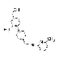 Cc1cccc(C#CC=C2CCN(c3ccc(CO)cc3C)CC2)n1